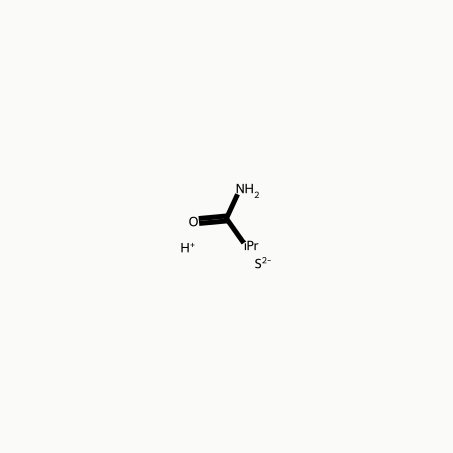 CC(C)C(N)=O.[H+].[S-2]